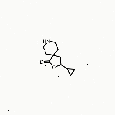 O=C1OC(C2CC2)CC12CCNCC2